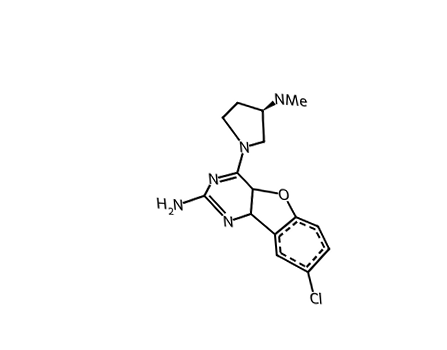 CN[C@@H]1CCN(C2=NC(N)=NC3c4cc(Cl)ccc4OC23)C1